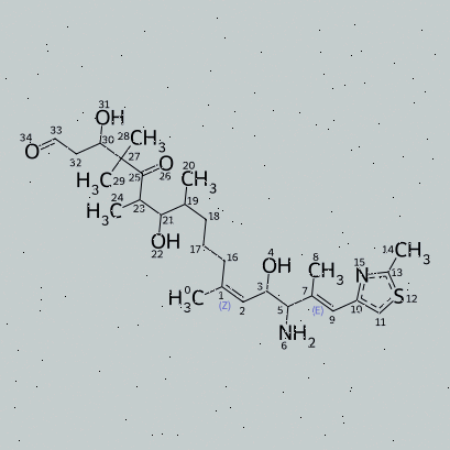 C/C(=C/C(O)C(N)/C(C)=C/c1csc(C)n1)CCCC(C)C(O)C(C)C(=O)C(C)(C)C(O)CC=O